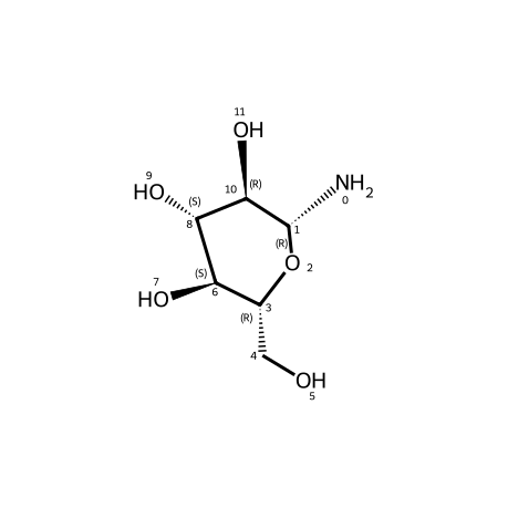 N[C@@H]1O[C@H](CO)[C@@H](O)[C@H](O)[C@H]1O